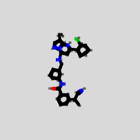 Bc1cnn2c(NCc3cccc(NC(=O)c4cccc(C(C)C#N)c4)c3)cc(-c3ccccc3Cl)nc12